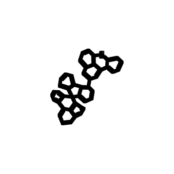 c1ccc2c(c1)Sc1cccc3cc(-c4cccc5c4-c4ccccc4C54c5ccccc5-c5cccc6cccc4c56)cc-2c13